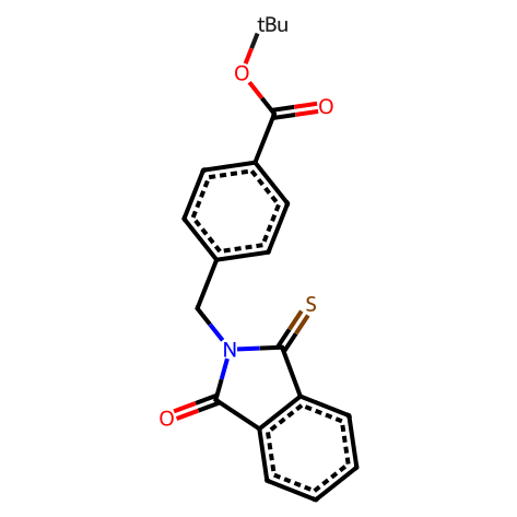 CC(C)(C)OC(=O)c1ccc(CN2C(=O)c3ccccc3C2=S)cc1